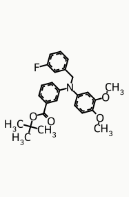 COc1ccc(N(Cc2cccc(F)c2)c2cccc(C(=O)OC(C)(C)C)c2)cc1OC